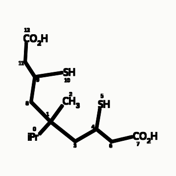 CC(C)C(C)(CC(S)CC(=O)O)CC(S)CC(=O)O